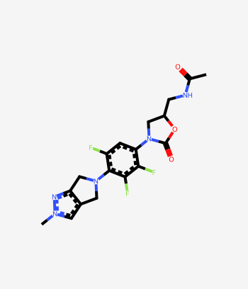 CC(=O)NCC1CN(c2cc(F)c(N3Cc4cn(C)nc4C3)c(F)c2F)C(=O)O1